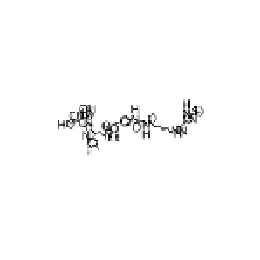 CCN(CCc1c2c(nc3cc(F)c(C)cc13)-c1cc([C@H](O)C=O)c(CO)c(=O)n1C2)C(=O)OCc1ccc(NC(=O)CNC(=O)CCCCCn2cc(C3=CN=C([S+]=O)NC3)nn2)cc1